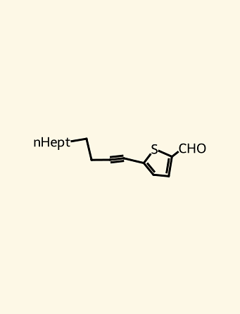 CCCCCCCCCC#Cc1ccc(C=O)s1